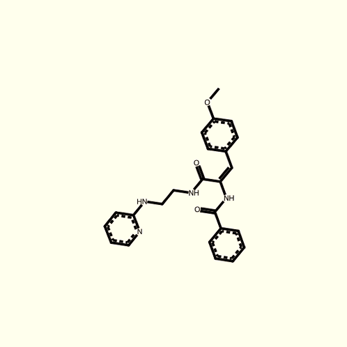 COc1ccc(/C=C(/NC(=O)c2ccccc2)C(=O)NCCNc2ccccn2)cc1